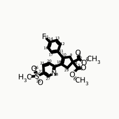 COC(=O)C1(C(=O)OC)CC(c2ccc(F)cc2)=C(c2ccc(S(C)(=O)=O)cn2)C1